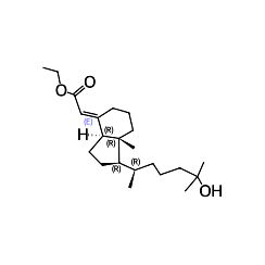 CCOC(=O)/C=C1\CCC[C@]2(C)[C@@H]([C@H](C)CCCC(C)(C)O)CC[C@@H]12